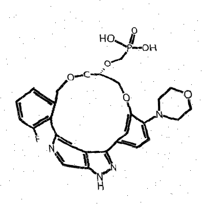 O=P(O)(O)CO[C@H]1COCc2cccc(F)c2-c2cc3c(n[nH]c3cn2)-c2ccc(N3CCOCC3)c(c2)OC1